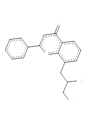 O=c1cc(-c2ccccc2)oc2c(CC(O)CO)cccc12